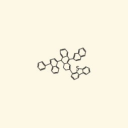 C1=C(c2cccc3c2sc2ccccc23)CCC2C1=C(c1ccc3ccccc3c1)c1ccccc1C2c1ccc(-c2ccccc2)c2ccccc12